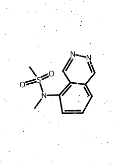 CN(c1cccc2cnncc12)S(C)(=O)=O